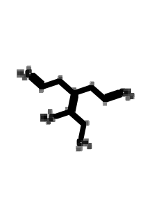 C=CCC(CC=C)=C(C)CC